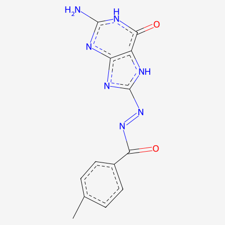 Cc1ccc(C(=O)N=Nc2nc3nc(N)[nH]c(=O)c3[nH]2)cc1